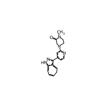 CN1CCN(c2cc(-c3n[nH]c4c3=CCC=CC=4)ccn2)CC1=O